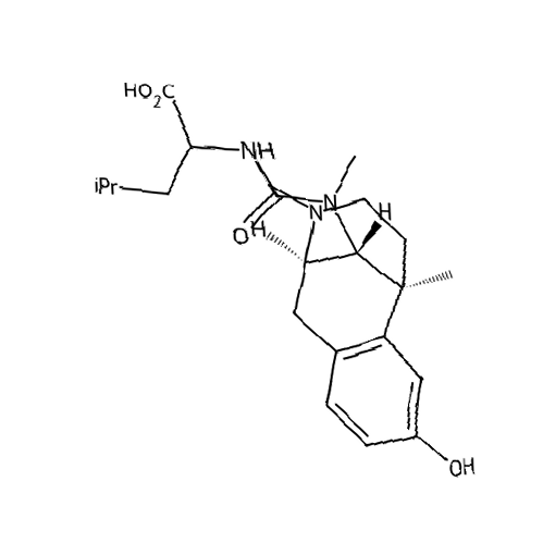 CC(C)CC(NC(=O)N(C)[C@H]1[C@H]2Cc3ccc(O)cc3[C@]1(C)CCN2C)C(=O)O